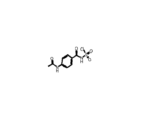 CC(=O)Nc1ccc(C(=O)NS(=O)(=O)Cl)cc1